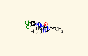 CC(C)(C)[C@]1(C(=O)N2CCN(c3ccc(Cl)c(Cl)c3)CC2)CN(CCCC(F)(F)F)CCN1C(=O)O